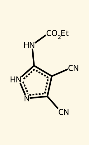 CCOC(=O)Nc1[nH]nc(C#N)c1C#N